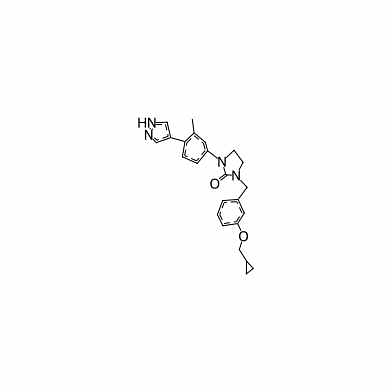 Cc1cc(N2CCN(Cc3cccc(OCC4CC4)c3)C2=O)ccc1-c1cn[nH]c1